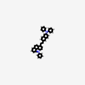 C(=C\c1ccc2c3c1ccc1cccc(c13)n2-c1ccccc1)/c1ccc2cc(N(c3ccccc3)c3ccccc3)ccc2c1